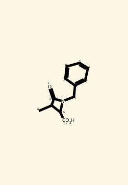 CC1C(=O)N(Cc2ccccc2)C1C(=O)O